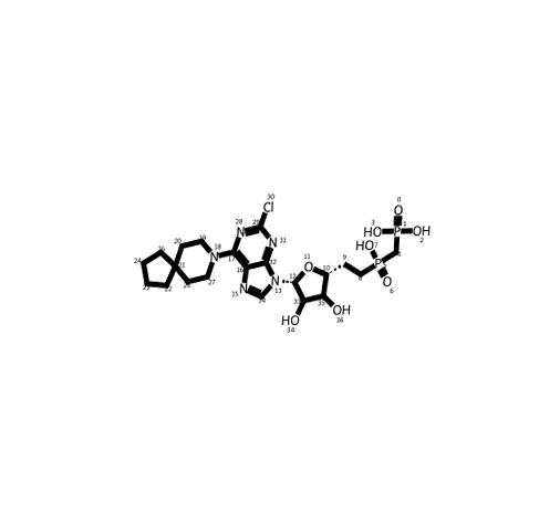 O=P(O)(O)CP(=O)(O)CC[C@H]1O[C@@H](n2cnc3c(N4CCC5(CCCC5)CC4)nc(Cl)nc32)C(O)C1O